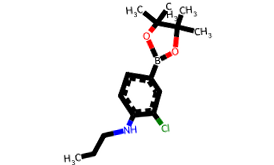 CCCNc1ccc(B2OC(C)(C)C(C)(C)O2)cc1Cl